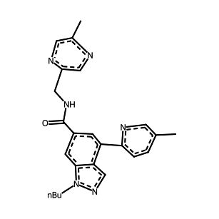 CCCCn1ncc2c(-c3ccc(C)cn3)cc(C(=O)NCc3cnc(C)cn3)cc21